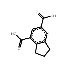 O=C(O)c1cc(C(=O)O)c2c(n1)CCC2